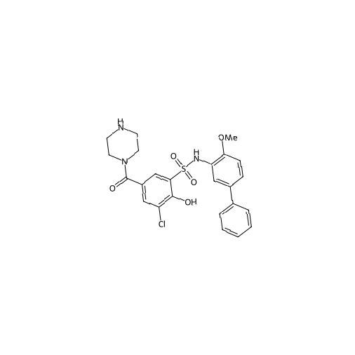 COc1ccc(-c2ccccc2)cc1NS(=O)(=O)c1cc(C(=O)N2CCNCC2)cc(Cl)c1O